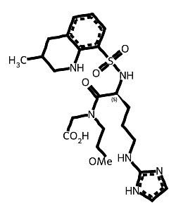 COCCN(CC(=O)O)C(=O)[C@H](CCCNc1ncc[nH]1)NS(=O)(=O)c1cccc2c1NCC(C)C2